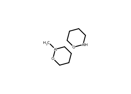 C1C[CH2][AlH][O]C1.[CH3][Al]1[CH2]CCC[O]1